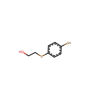 OCCSc1ccc(S)cc1